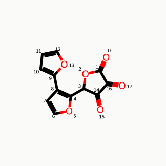 O=C1OC(c2occc2-c2ccco2)C(=O)C1=O